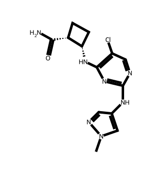 Cn1cc(Nc2ncc(Cl)c(N[C@H]3CC[C@H]3C(N)=O)n2)cn1